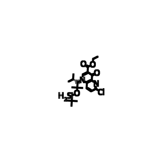 CCOC(=O)c1cn([C@@H](C(C)C)C(C)(C)O[SiH2]C(C)(C)C)c2ccc(Cl)nc2c1=O